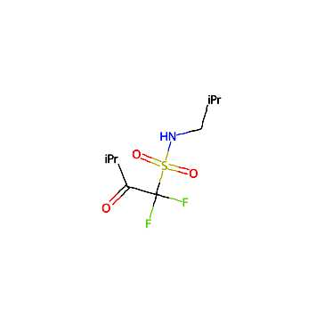 CC(C)CNS(=O)(=O)C(F)(F)C(=O)C(C)C